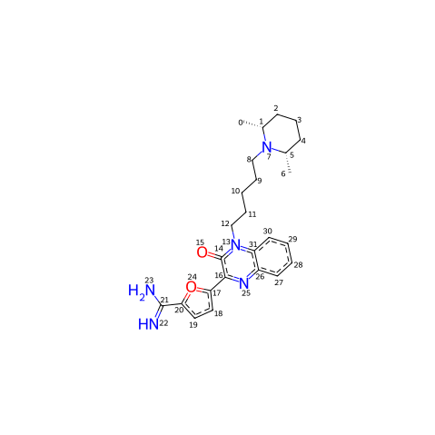 C[C@@H]1CCC[C@H](C)N1CCCCCn1c(=O)c(-c2ccc(C(=N)N)o2)nc2ccccc21